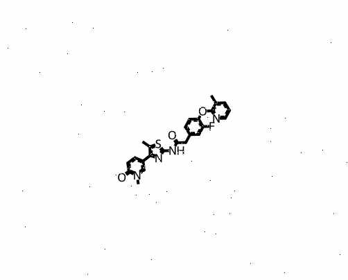 Cc1cccnc1Oc1ccc(CC(=O)Nc2nc(-c3ccc(=O)n(C)c3)c(C)s2)cc1F